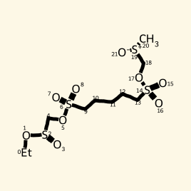 CCOS(=O)COS(=O)(=O)CCCCCS(=O)(=O)OC[S+](C)[O-]